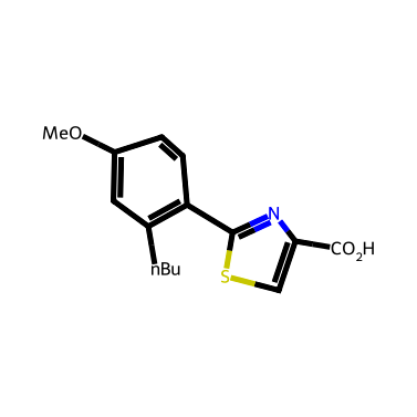 CCCCc1cc(OC)ccc1-c1nc(C(=O)O)cs1